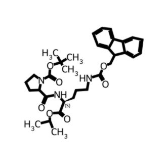 CC(C)OC(=O)[C@H](CCCNC(=O)OCC1c2ccccc2-c2ccccc21)NC(=O)C1CCCN1C(=O)OC(C)(C)C